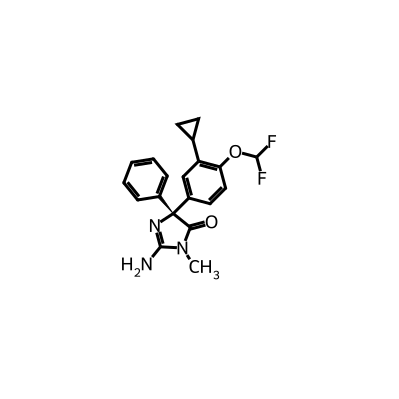 CN1C(=O)[C@@](c2ccccc2)(c2ccc(OC(F)F)c(C3CC3)c2)N=C1N